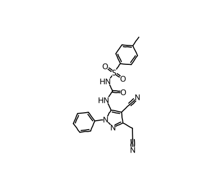 Cc1ccc(S(=O)(=O)NC(=O)Nc2c(C#N)c(CC#N)nn2-c2ccccc2)cc1